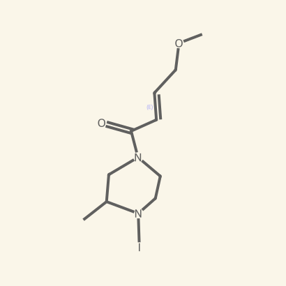 COC/C=C/C(=O)N1CCN(I)C(C)C1